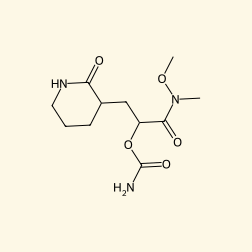 CON(C)C(=O)C(CC1CCCNC1=O)OC(N)=O